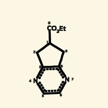 CCOC(=O)C1Cc2nccnc2C1